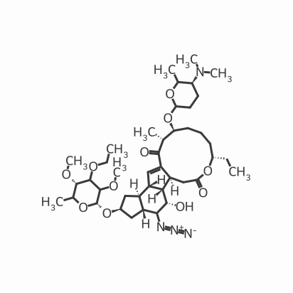 CCOC1C(OC)[C@H](O[C@H]2C[C@H]3[C@@H]4C=C5C(=O)[C@H](C)[C@@H](OC6CC[C@H](N(C)C)C(C)O6)CCC[C@H](CC)OC(=O)C[C@H]5[C@@H]4[C@H](O)C(N=[N+]=[N-])[C@@H]3C2)OC(C)[C@@H]1OC